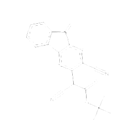 CC(C)(C)OC(=O)C(C#N)c1nc2c(nc1C#N)C(=O)c1ccccc1-2